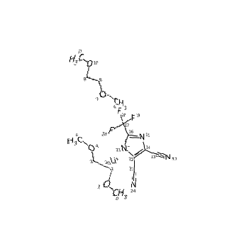 COCCOC.COCCOC.N#Cc1nc(C(F)(F)F)[n-]c1C#N.[Li+]